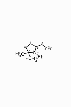 CCN1C(CC(C)C)CCC1(C)C